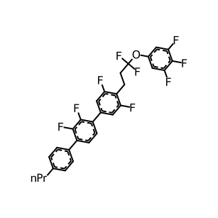 CCCc1ccc(-c2ccc(-c3cc(F)c(CCC(F)(F)Oc4cc(F)c(F)c(F)c4)c(F)c3)c(F)c2F)cc1